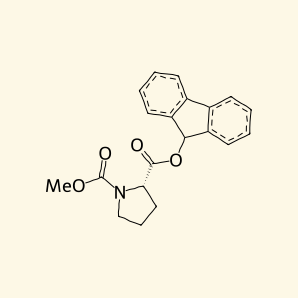 COC(=O)N1CCC[C@H]1C(=O)OC1c2ccccc2-c2ccccc21